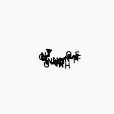 O=C(CCC(F)(F)F)NCc1cnn2cc(CNC(=O)c3conc3CC3CC3)nc2c1